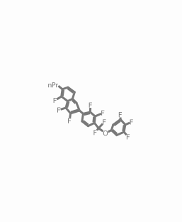 CCCc1ccc2cc(-c3ccc(C(F)(F)Oc4cc(F)c(F)c(F)c4)c(F)c3F)c(F)c(F)c2c1F